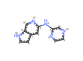 c1cnc(Nc2cc3cc[nH]c3cn2)cn1